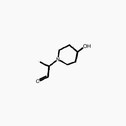 [CH2]C(C=O)N1CCC(O)CC1